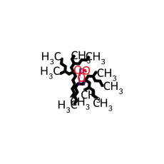 CCCCCCCC(CC(CC)CCCC)(CC(CC)CCCC)O[PH](=O)OC(CCCCCCC)(CC(CC)CCCC)CC(CC)CCCC